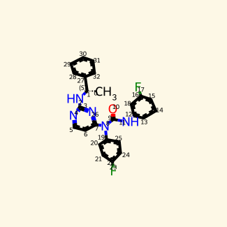 C[C@H](Nc1nccc(N(C(=O)Nc2cccc(F)c2)c2ccc(F)cc2)n1)c1ccccc1